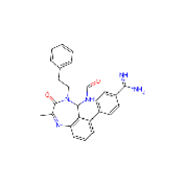 CC1=Nc2cccc(-c3ccc(C(=N)N)cc3)c2C(NC=O)N(CCc2ccccc2)C1=O